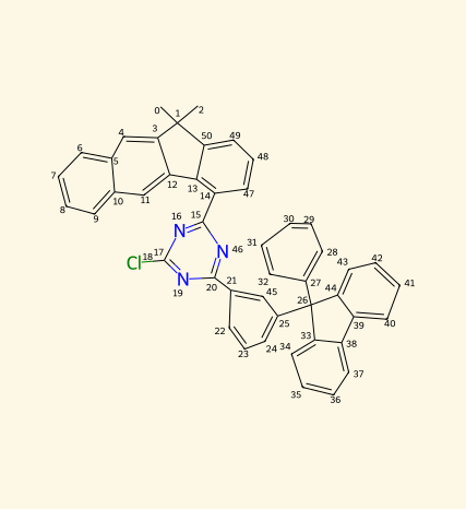 CC1(C)c2cc3ccccc3cc2-c2c(-c3nc(Cl)nc(-c4cccc(C5(c6ccccc6)c6ccccc6-c6ccccc65)c4)n3)cccc21